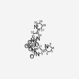 O=C1N2CC(c3ccccn3)=CC(C2)N1OS(=O)(=O)ON1C(=O)N2CC(c3ccccn3)=CC1C2